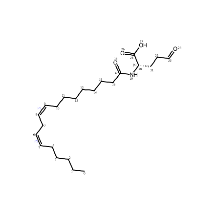 CCCCC/C=C\C/C=C\CCCCCCCC(=O)N[C@@H](CCC=O)C(=O)O